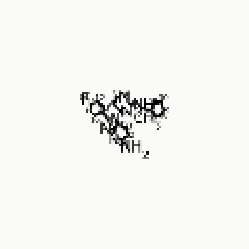 CC(Nc1nccc(-n2c(-c3ccc(F)cc3)nc3nc(N)ccc32)n1)c1ccccc1